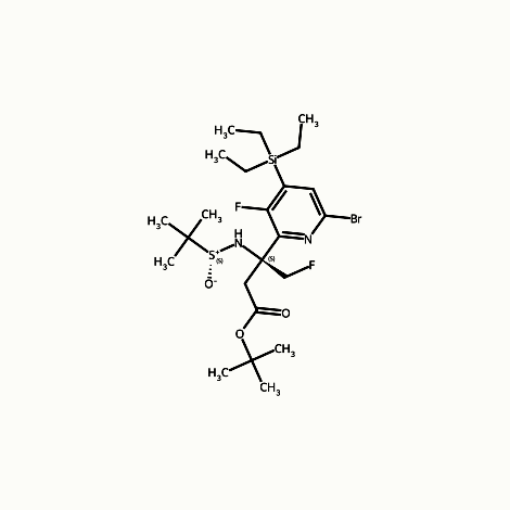 CC[Si](CC)(CC)c1cc(Br)nc([C@](CF)(CC(=O)OC(C)(C)C)N[S@+]([O-])C(C)(C)C)c1F